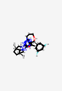 Cc1cc(N2C[C@H]3CC[C@@H](C2)[C@@H]3Nc2nc3n(n2)CCCO[C@H]3c2cc(F)cc(F)c2)ncn1